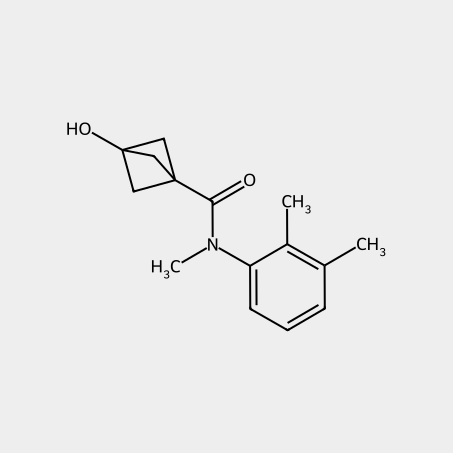 Cc1cccc(N(C)C(=O)C23CC(O)(C2)C3)c1C